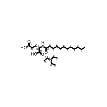 CCCCCCCCCCCC(=O)N[C@@H](CCC(=O)O)C(=O)O.CCN(CC)CC